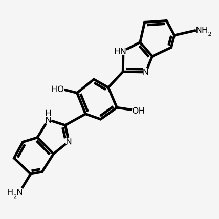 Nc1ccc2[nH]c(-c3cc(O)c(-c4nc5cc(N)ccc5[nH]4)cc3O)nc2c1